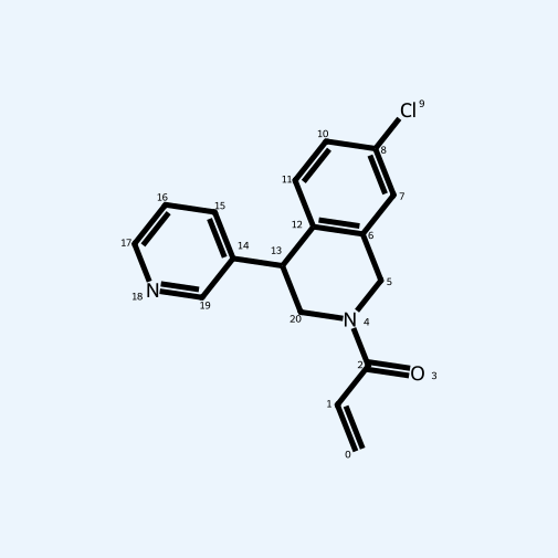 C=CC(=O)N1Cc2cc(Cl)ccc2C(c2cccnc2)C1